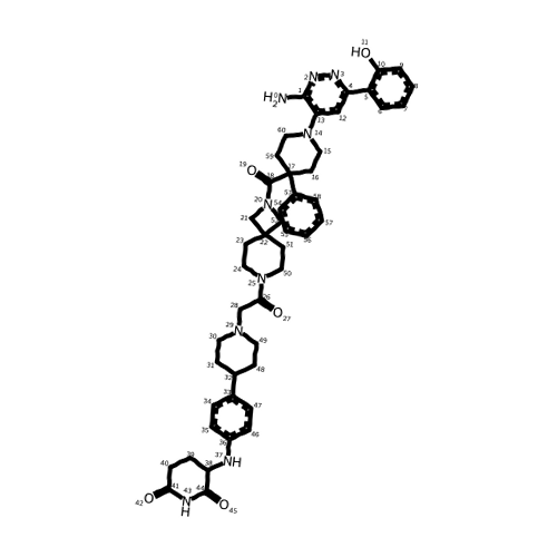 Nc1nnc(-c2ccccc2O)cc1N1CCC(C(=O)N2CC3(CCN(C(=O)CN4CCC(c5ccc(NC6CCC(=O)NC6=O)cc5)CC4)CC3)C2)(c2ccccc2)CC1